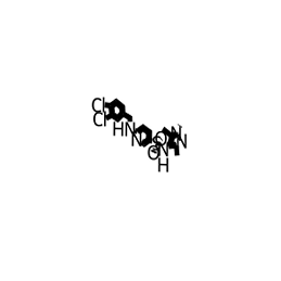 Cc1nn(C)c(C)c1NS(=O)(=O)c1ccc(NCc2ccc(Cl)c(Cl)c2)nc1